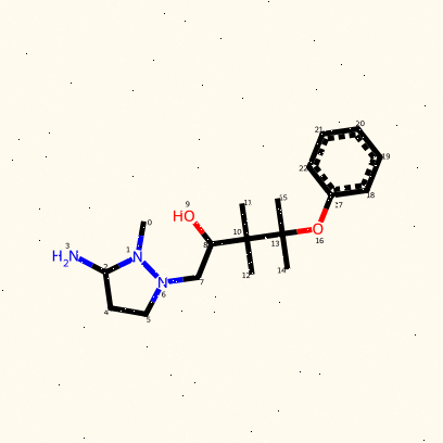 CN1C(N)CCN1CC(O)C(C)(C)C(C)(C)Oc1ccccc1